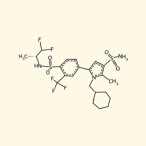 Cc1c(S(N)(=O)=O)cc(-c2ccc(S(=O)(=O)N[C@H](C)C(F)F)c(C(F)(F)F)c2)n1CC1CCCCC1